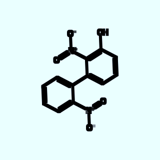 O=[N+]([O-])c1ccccc1-c1cccc(O)c1[N+](=O)[O-]